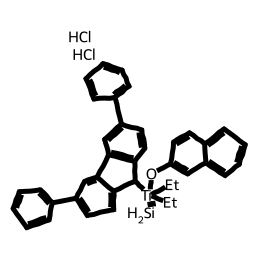 C[CH2][Ti](=[SiH2])([CH2]C)([O]c1ccc2ccccc2c1)[CH]1c2ccc(-c3ccccc3)cc2-c2cc(-c3ccccc3)ccc21.Cl.Cl